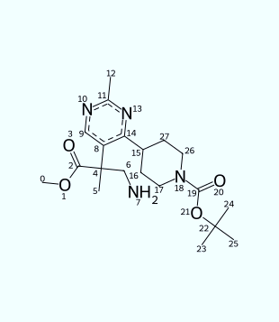 COC(=O)C(C)(CN)c1cnc(C)nc1C1CCN(C(=O)OC(C)(C)C)CC1